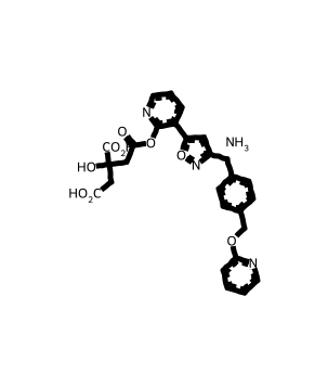 N.O=C(O)CC(O)(CC(=O)Oc1ncccc1-c1cc(Cc2ccc(COc3ccccn3)cc2)no1)C(=O)O